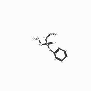 CCCCCCCCCOP(=S)(Oc1ccccc1)SCCCCCCCCC